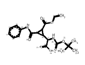 CCOC(=O)C1C(C(=O)Nc2ccccc2)C1C(NC(=O)OC(C)(C)C)C(=O)O